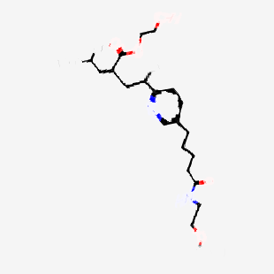 CCC(CC(CC(C)C(=O)O)C(=O)OCCO)c1ccc(CCCCC(=O)NCCOS(=O)(=O)O)cn1